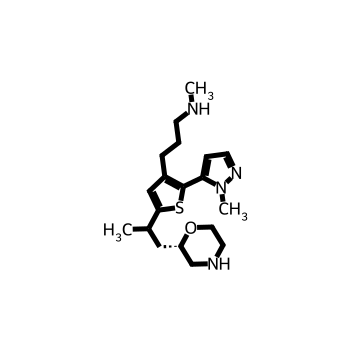 CNCCCc1cc(C(C)C[C@H]2CNCCO2)sc1-c1ccnn1C